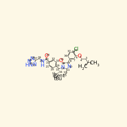 C=C(C)CCOc1cc(C2=NC(CC(C)CCC)N([C@H](CCC(C)(C)C)c3ccc(C(=O)NCc4nn[nH]n4)cc3)C2=O)ccc1Cl